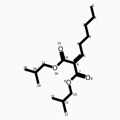 CCCCCC=C(C(=O)OCC(C)C)C(=O)OCC(C)C